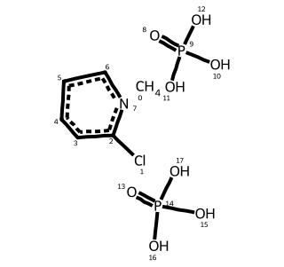 C.Clc1ccccn1.O=P(O)(O)O.O=P(O)(O)O